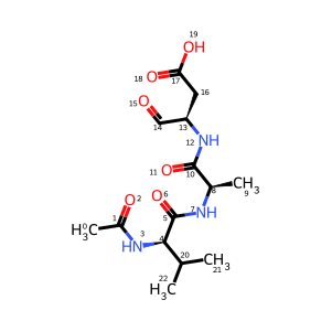 CC(=O)N[C@@H](C(=O)N[C@H](C)C(=O)N[C@@H](C=O)CC(=O)O)C(C)C